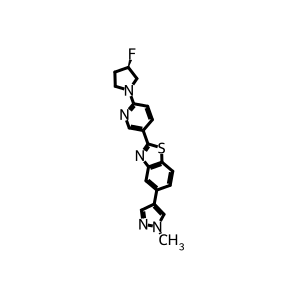 Cn1cc(-c2ccc3sc(-c4ccc(N5CC[C@@H](F)C5)nc4)nc3c2)cn1